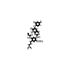 C=CC(=O)Nc1cc(Nc2ncc3cc(Oc4ccc(F)cc4F)c(=O)n(C)c3n2)c(OC)cc1CCCN(C)C